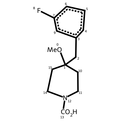 COC1(Cc2cccc(F)c2)CCN(C(=O)O)CC1